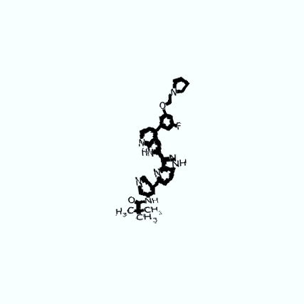 CC(C)(C)C(=O)Nc1cncc(-c2ccc3[nH]nc(-c4cc5c(-c6cc(F)cc(OCCN7CCCC7)c6)ccnc5[nH]4)c3n2)c1